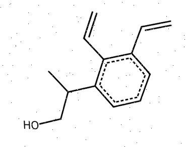 C=Cc1cccc([C](C)CO)c1C=C